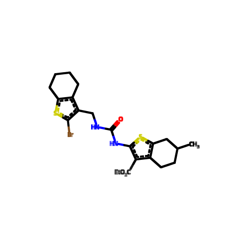 CCOC(=O)c1c(NC(=O)NCc2c(Br)sc3c2CCCC3)sc2c1CCC(C)C2